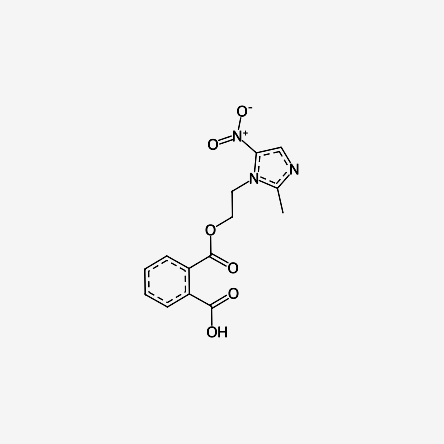 Cc1ncc([N+](=O)[O-])n1CCOC(=O)c1ccccc1C(=O)O